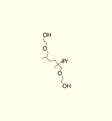 CC(CCC(C)(COCCO)C(C)C)COCCO